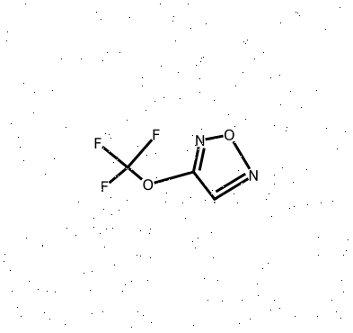 FC(F)(F)Oc1[c]non1